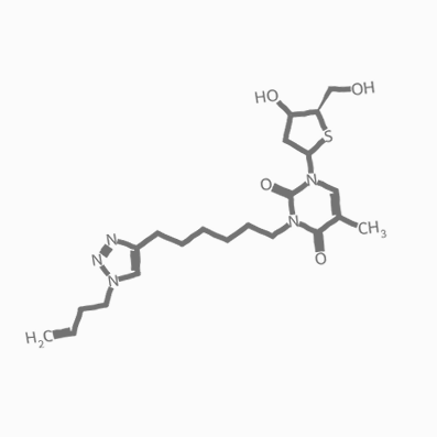 C=CCCn1cc(CCCCCCn2c(=O)c(C)cn(C3CC(O)[C@@H](CO)S3)c2=O)nn1